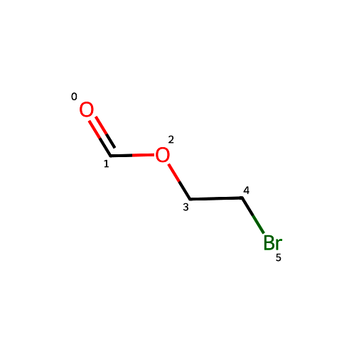 O=COCCBr